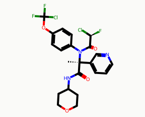 C[C@@](C(=O)NC1CCOCC1)(c1cccnc1)N(C(=O)[C@H](F)Cl)c1ccc(OC(F)(F)Cl)cc1